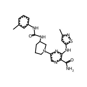 Cc1cccc(NC(=O)NC2CCCN(c3cnc(C(N)=O)c(Nc4cc(C)ns4)n3)C2)c1